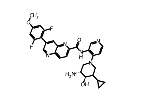 COc1cc(F)c(-c2cnc3ccc(C(=O)Nc4cnccc4N4CC(C5CC5)[C@@H](O)[C@H](N)C4)nc3c2)c(F)c1